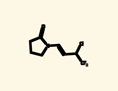 O=C1CCCN1C=CC(Cl)C(F)(F)F